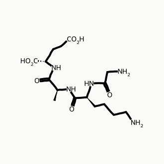 C[C@H](NC(=O)[C@H](CCCCN)NC(=O)CN)C(=O)N[C@@H](CCC(=O)O)C(=O)O